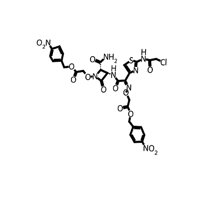 NC(=O)[C@@H]1[C@H](NC(=O)/C(=N\OCC(=O)OCc2ccc([N+](=O)[O-])cc2)c2csc(NC(=O)CCl)n2)C(=O)N1OCC(=O)OCc1ccc([N+](=O)[O-])cc1